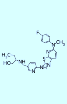 CCC(CO)NCc1ccc(Nc2nc3ccc(N(C)c4ccc(F)cc4)nc3s2)nc1